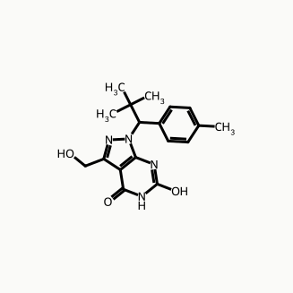 Cc1ccc(C(n2nc(CO)c3c(=O)[nH]c(O)nc32)C(C)(C)C)cc1